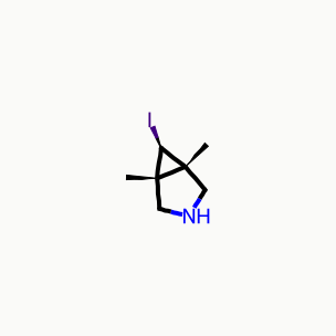 C[C@@]12CNC[C@]1(C)[C@H]2I